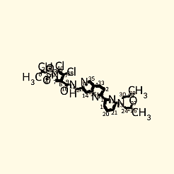 CC(C)S(=O)(=O)n1cc(C(=O)NCc2cc3nc(-c4cccc(N5C[C@@H](C)O[C@@H](C)C5)n4)ccc3cn2)c(Cl)c1Cl